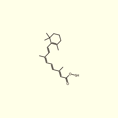 CC1=C(/C=C/C(C)=C\C=C\C(C)=C\C(=O)OS)C(C)(C)CCC1